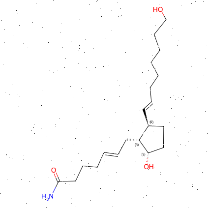 NC(=O)CCCC=CC[C@H]1[C@@H](O)CC[C@@H]1C=CCCCCCCO